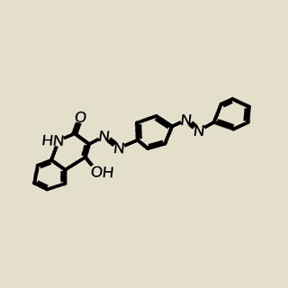 O=c1[nH]c2ccccc2c(O)c1N=Nc1ccc(N=Nc2ccccc2)cc1